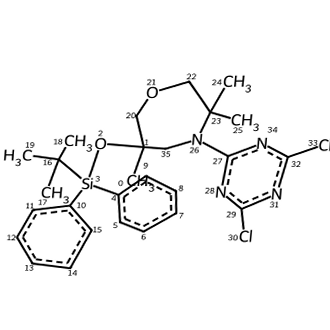 CC1(O[Si](c2ccccc2)(c2ccccc2)C(C)(C)C)COCC(C)(C)N(c2nc(Cl)nc(Cl)n2)C1